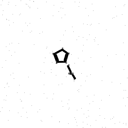 C1=CCC=C1.[CH3][Ru][CH3]